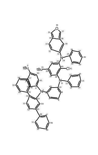 CC(C)(C)c1ccc(N(c2cccc(N(c3ccccc3)c3cc(C(C)(C)C)cc(N(c4ccccc4)c4ccc5cocc5c4)c3Cl)c2)c2cc(-c3ccccc3)ccc2-c2ccccc2)cc1